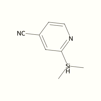 C[SiH](C)c1cc(C#N)ccn1